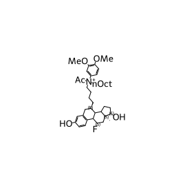 CCCCCCCC[N+](CCCC[C@@H]1Cc2cc(O)ccc2C2C1C1CC[C@H](O)[C@@]1(C)C[C@@H]2F)(C(C)=O)c1ccc(OC)c(OC)c1